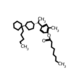 CCCCCCCC(=O)Oc1ccc(C(C)[C@H]2CC[C@H](C3(CCCCC)CCCCC3)CC2)cc1C